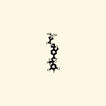 O=C(C1CS(O)(O)C1)N1CC2(C1)OCc1cc(C3=NOC(c4cc(Cl)c(F)c(Cl)c4)(C(F)(F)F)C3)ccc12